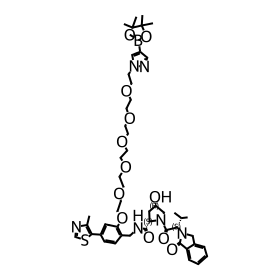 Cc1ncsc1-c1ccc(CNC(=O)[C@@H]2C[C@@H](O)CN2C(=O)[C@H](C(C)C)N2Cc3ccccc3C2=O)c(OCCOCCOCCOCCOCCOCCn2cc(B3OC(C)(C)C(C)(C)O3)cn2)c1